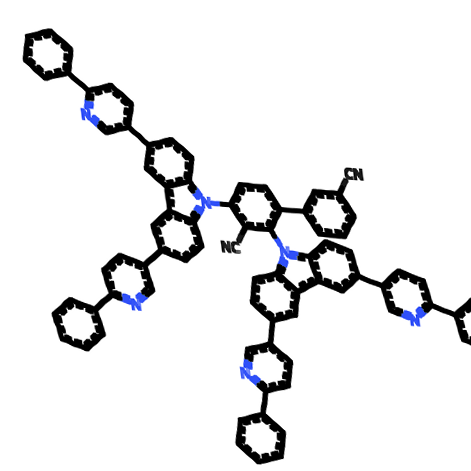 N#Cc1cccc(-c2ccc(-n3c4ccc(-c5ccc(-c6ccccc6)nc5)cc4c4cc(-c5ccc(-c6ccccc6)nc5)ccc43)c(C#N)c2-n2c3ccc(-c4ccc(-c5ccccc5)nc4)cc3c3cc(-c4ccc(-c5ccccc5)nc4)ccc32)c1